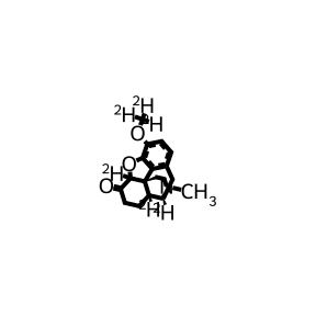 [2H]C([2H])([2H])Oc1ccc2c3c1OC1([2H])C(=O)CC[C@@]4([2H])[C@@]([2H])(C2)N(C)CC[C@]314